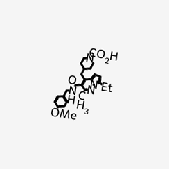 CCc1ccc2c(CC3CCN(C(=O)O)CC3)c(C(=O)NCc3ccc(OC)cc3)c(C)nn12